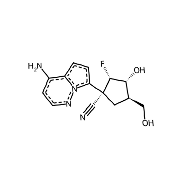 N#C[C@@]1(c2ccc3c(N)ccnn23)C[C@H](CO)[C@@H](O)[C@H]1F